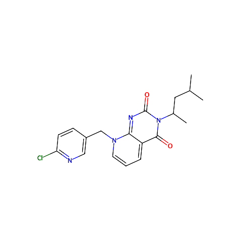 CC(C)CC(C)n1c(=O)nc2n(Cc3ccc(Cl)nc3)cccc-2c1=O